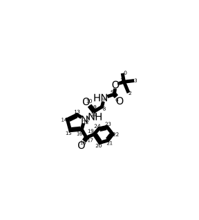 CC(C)(C)OC(=O)NCC(=O)Nn1cccc1C(=O)c1ccccc1